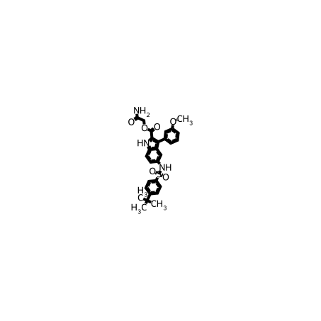 COc1cccc(-c2c(C(=O)OCC(N)=O)[nH]c3ccc(NS(=O)(=O)c4ccc(C(C)(C)C)cc4)cc23)c1